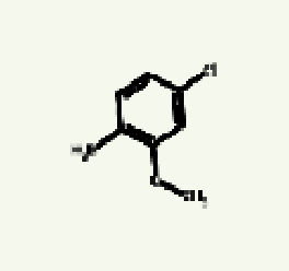 Bc1ccc(Cl)cc1OC